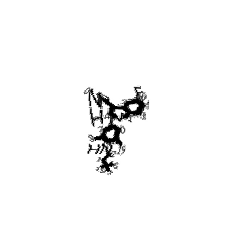 CNCC1CN(c2cc(C)c(NCCC(C)(C)C)c(C)c2)Cc2ccc(F)cc21